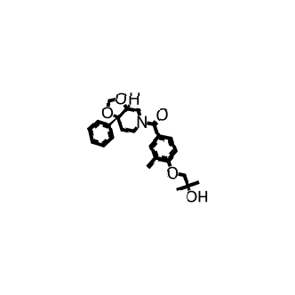 Cc1cc(C(=O)N2CC[C@]3(c4ccccc4)OCO[C@@H]3C2)ccc1OCC(C)(C)O